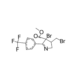 COC(=O)C1(Br)C(c2ccc(C(F)(F)F)cc2)=NCC1CBr